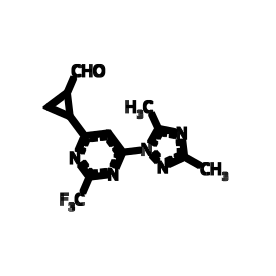 Cc1nc(C)n(-c2cc(C3CC3C=O)nc(C(F)(F)F)n2)n1